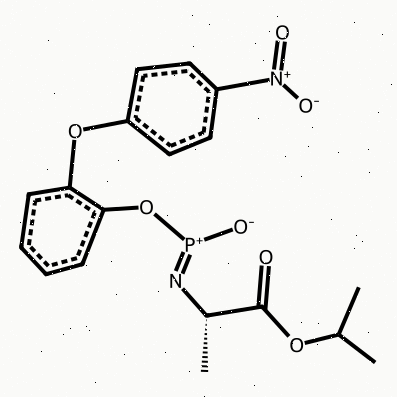 CC(C)OC(=O)[C@H](C)/N=[P+](\[O-])Oc1ccccc1Oc1ccc([N+](=O)[O-])cc1